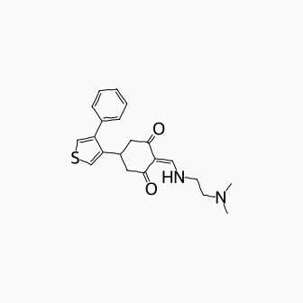 CN(C)CCNC=C1C(=O)CC(c2cscc2-c2ccccc2)CC1=O